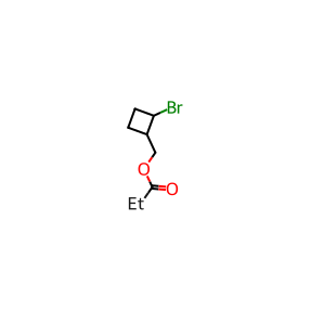 CCC(=O)OCC1CCC1Br